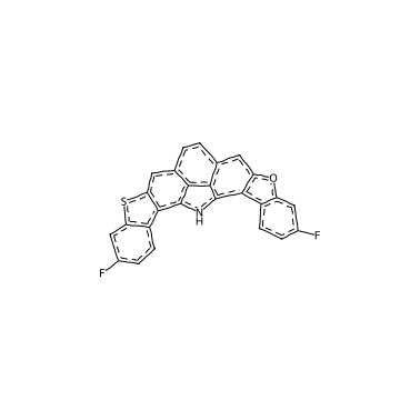 Fc1ccc2c(c1)oc1cc3ccc4cc5sc6cc(F)ccc6c5c5[nH]c(c12)c3c45